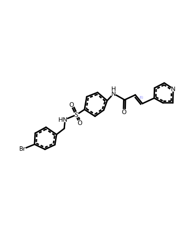 O=C(/C=C/c1ccncc1)Nc1ccc(S(=O)(=O)NCc2ccc(Br)cc2)cc1